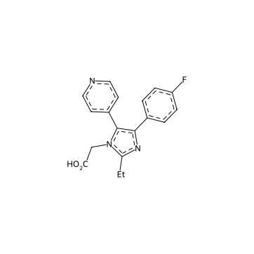 CCc1nc(-c2ccc(F)cc2)c(-c2ccncc2)n1CC(=O)O